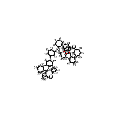 c1ccc(-c2ccccc2N(c2cccc(-c3ccc4c(c3)-c3ccccc3C43c4ccccc4Oc4ccccc43)c2)c2ccc3c(c2)C2(c4ccccc4Oc4ccccc42)c2ccccc2-3)cc1